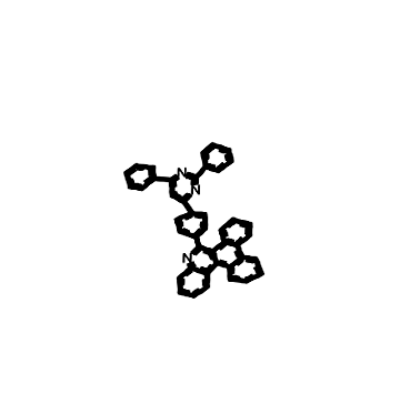 c1ccc(-c2cc(-c3ccc(-c4nc5ccccc5c5c6ccccc6c6ccccc6c45)cc3)nc(-c3ccccc3)n2)cc1